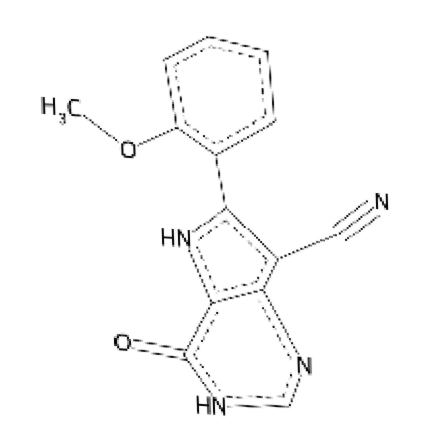 COc1ccccc1-c1[nH]c2c(=O)[nH]cnc2c1C#N